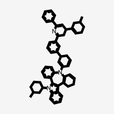 CC1CCC=C(C2C=C(c3ccccc3)N=C(c3cccc(C4C=C(N5C6=C(CCC=C6)c6c(n(C7CCCC(C)C7)c7ccccc67)-c6ccccc65)C=CC4)c3)C2)C1